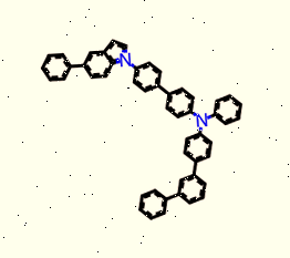 c1ccc(-c2cccc(-c3ccc(N(c4ccccc4)c4ccc(-c5ccc(-n6ccc7cc(-c8ccccc8)ccc76)cc5)cc4)cc3)c2)cc1